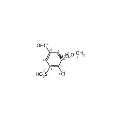 O.O.O.O=Cc1ccc(Cl)c(S(=O)(=O)O)c1